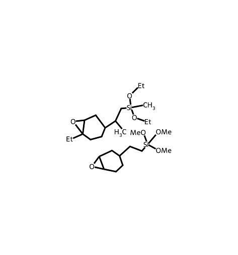 CCO[Si](C)(CC(C)C1CCC2(CC)OC2C1)OCC.CO[Si](CCC1CCC2OC2C1)(OC)OC